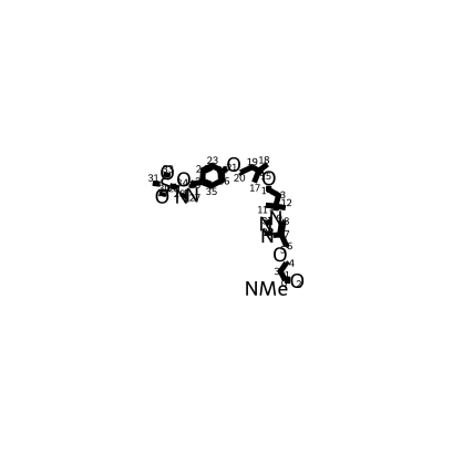 CNC(=O)CCOCc1cn(C(C)(C)CCOC(C)(C)CCOc2ccc(-c3nnc(S(C)(=O)=O)o3)cc2)nn1